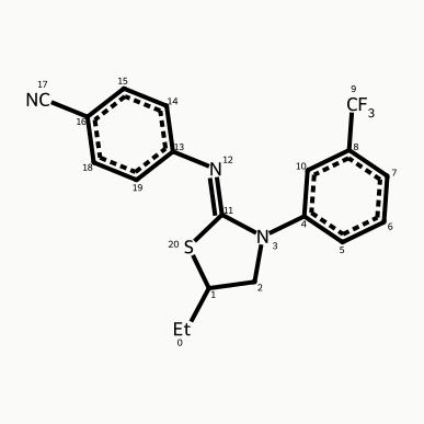 CCC1CN(c2cccc(C(F)(F)F)c2)C(=Nc2ccc(C#N)cc2)S1